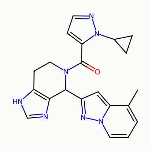 Cc1cccn2nc(C3c4nc[nH]c4CCN3C(=O)c3ccnn3C3CC3)cc12